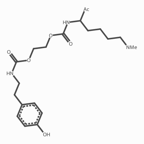 CNCCCCC(NC(=O)OCCOC(=O)NCCc1ccc(O)cc1)C(C)=O